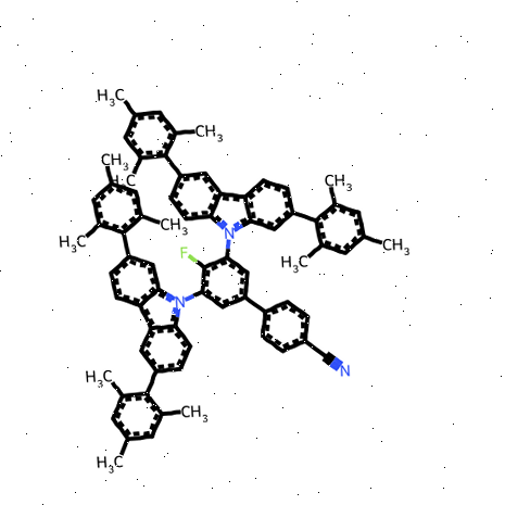 Cc1cc(C)c(-c2ccc3c(c2)c2ccc(-c4c(C)cc(C)cc4C)cc2n3-c2cc(-c3ccc(C#N)cc3)cc(-n3c4ccc(-c5c(C)cc(C)cc5C)cc4c4ccc(-c5c(C)cc(C)cc5C)cc43)c2F)c(C)c1